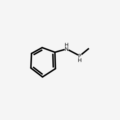 CPNc1ccccc1